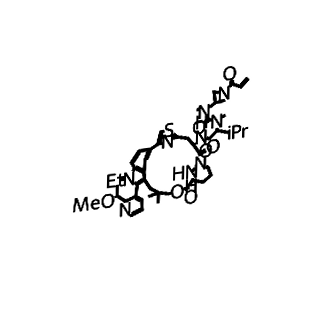 C=CC(=O)N1CC(N(C)C(=O)N(C)C(C(=O)N[C@H]2Cc3nc(cs3)-c3ccc4c(c3)c(c(-c3cccnc3[C@H](C)OC)n4CC)CC(C)(C)COC(=O)[C@@H]3CCCN(N3)C2=O)C(C)C)C1